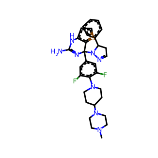 CN1CCN(C2CCN(c3c(F)cc(C4(N5N=CCC5c5ccccc5)N=C(N)Nc5ccsc54)cc3F)CC2)CC1